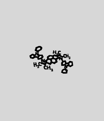 Cc1c(C)n(-c2ccc3c(c2)c2ccccc2n3-c2ccccc2)c2c1cc1ccc3c4c(ccc2c14)cc1c(C)c(C)n(-c2ccc4c(c2)c2ccccc2n4-c2ccccc2)c13